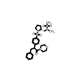 CN(C[C@H]1CCCN1S(=O)(=O)c1ccc(C(Cc2ccccc2)C(=O)N2CCOCC2)cc1)S(C)(=O)=O